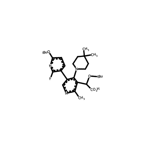 Cc1ncc(-c2ccc(OCC(C)C)nc2F)c(N2CCC(C)(C)CC2)c1C(OC(C)(C)C)C(=O)O